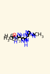 Cc1cn(-c2ccnc3[nH]c(-c4n[nH]c5ncc(-c6cncc(NC(=O)C(C)(C)C)c6)cc45)cc23)cn1